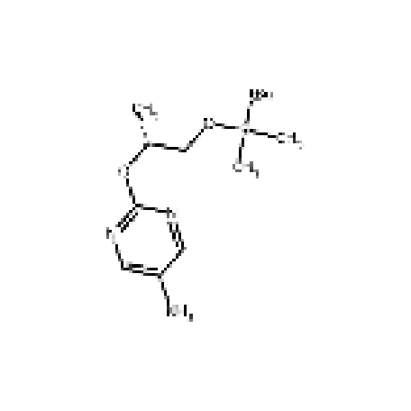 C[C@H](CO[Si](C)(C)C(C)(C)C)Oc1ncc(N)cn1